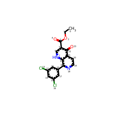 CCOC(=O)c1c[nH]c2c(-c3cc(Cl)cc(Cl)c3)nccc2c1=O